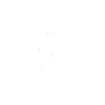 COc1ccc(Cl)cc1-c1nc(-c2ccccn2)no1